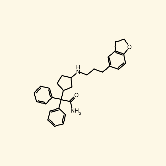 NC(=O)C(c1ccccc1)(c1ccccc1)C1CCC(NCCCc2ccc3c(c2)CCO3)C1